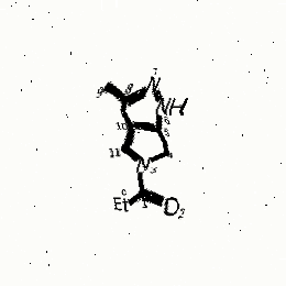 CCC(=O)N1Cc2[nH]nc(C)c2C1